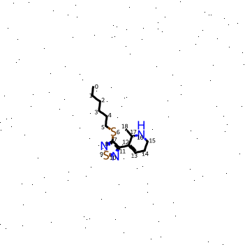 CCCCCCSc1nsnc1C1=CCCNC1C